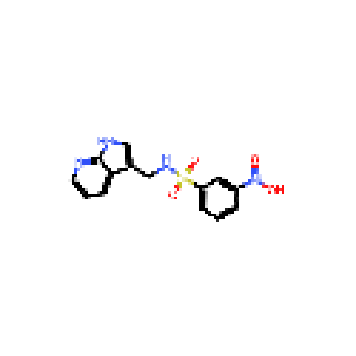 O=[N+](O)c1cccc(S(=O)(=O)NCc2c[nH]c3ncccc23)c1